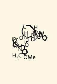 COc1ccc2c(OCC[C@@H]3NC(=O)CCCCC/C=C\[C@@H]4C[C@@]4(C(=O)NS(=O)(=O)C4CCCC4)NC3=O)cc(-n3ccc(C(C)C)n3)nc2c1C